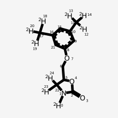 [2H]N1C(=O)OC(COc2cc(C([2H])([2H])[2H])cc(C([2H])([2H])[2H])c2)C1([2H])[2H]